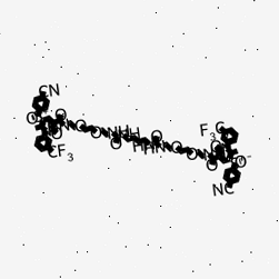 Cc1c([S+]([O-])c2ccc(C#N)cc2)cc(C(=O)NCCOCCOCCNC(=O)NCCCCNC(=O)NCCOCCOCCNC(=O)c2cc([S+]([O-])c3ccc(C#N)cc3)c(C)n(-c3cccc(C(F)(F)F)c3)c2=O)c(=O)n1-c1cccc(C(F)(F)F)c1